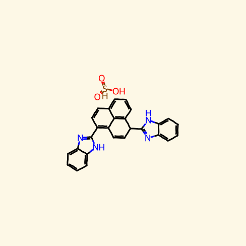 C1=CC(c2nc3ccccc3[nH]2)c2cccc3ccc(-c4nc5ccccc5[nH]4)c1c23.O=[SH](=O)O